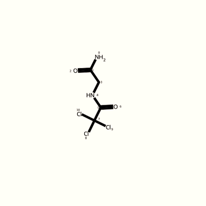 NC(=O)CNC(=O)C(Cl)(Cl)Cl